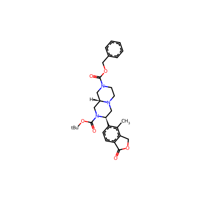 Cc1c([C@@H]2CN3CCN(C(=O)OCc4ccccc4)C[C@H]3CN2C(=O)OC(C)(C)C)ccc2c1COC2=O